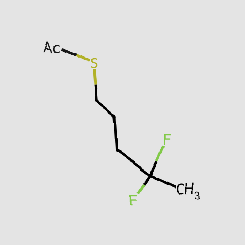 CC(=O)SCCCC(C)(F)F